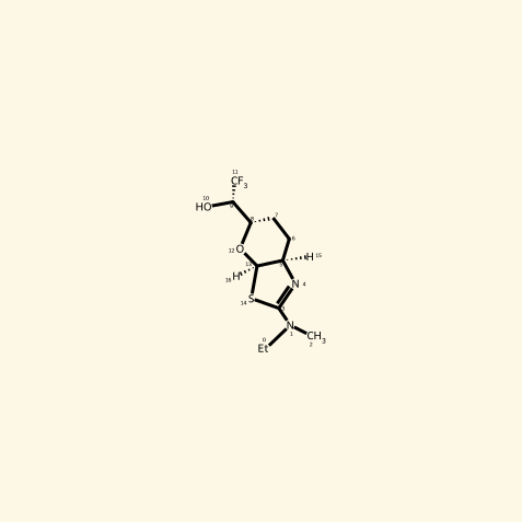 CCN(C)C1=N[C@@H]2CC[C@@H]([C@H](O)C(F)(F)F)O[C@@H]2S1